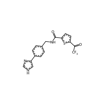 O=C(NCc1ccc(-c2c[nH]cn2)cc1)c1ccc(C(=O)C(F)(F)F)s1